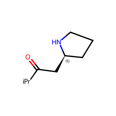 CC(C)C(=O)C[C@@H]1CCCN1